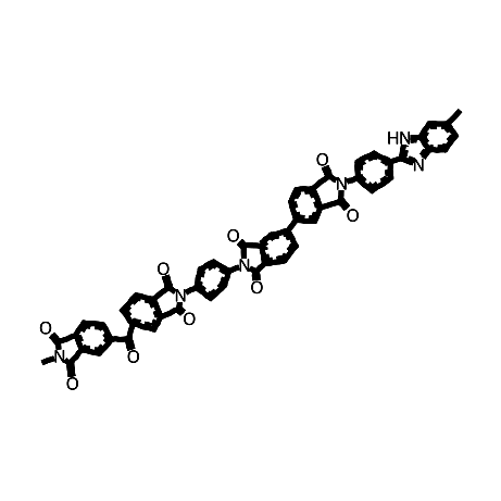 Cc1ccc2nc(-c3ccc(N4C(=O)c5ccc(-c6ccc7c(c6)C(=O)N(c6ccc(N8C(=O)c9ccc(C(=O)c%10ccc%11c(c%10)C(=O)N(C)C%11=O)cc9C8=O)cc6)C7=O)cc5C4=O)cc3)[nH]c2c1